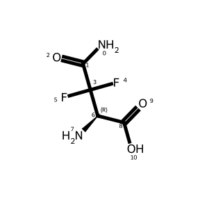 NC(=O)C(F)(F)[C@H](N)C(=O)O